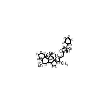 CC[C@H]1CC2C3CC[C@H]([C@H](C)CCC(=O)NS(=O)(=O)c4ccccc4)[C@@]3(C)C[C@H](O)C2[C@@]2(C)CCCC[C@@H]12